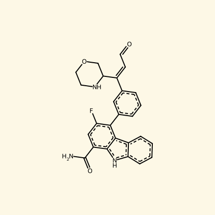 NC(=O)c1cc(F)c(-c2cccc(C(=CC=O)C3COCCN3)c2)c2c1[nH]c1ccccc12